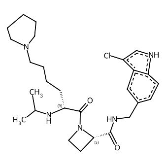 CC(C)N[C@H](CCCCN1CCCCC1)C(=O)N1CC[C@H]1C(=O)NCc1ccc2[nH]cc(Cl)c2c1